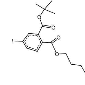 CCCCOC(=O)c1ccc(I)cc1C(=O)OC(C)(C)C